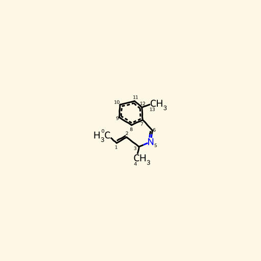 CC=CC(C)/N=C\c1ccccc1C